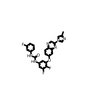 Cc1cn(-c2cnc3ccc(Oc4cc(NC(=O)Nc5cccc(F)c5)cc(F)c4F)cc3n2)cn1